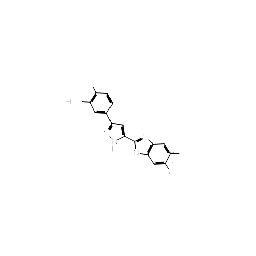 Cc1ccc(-c2cc(-c3nc4cc(F)c(C)cc4[nH]3)[nH]n2)cc1C